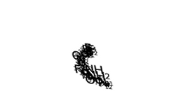 Nc1c(NC(=O)C2CCN(C3CC3)CC2)ncc(F)c1C1CCN(C(=O)c2ccc(S(F)(F)(F)(F)F)cc2)CC1